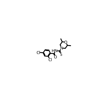 CC1CN(C(=S)NC(=O)c2ccc(Cl)cc2Cl)CC(C)O1